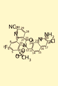 CS(=O)(=O)c1cc(F)ccc1N(Cc1ccc2cc(Cl)c(N)nc2c1)C(=O)c1ccc(C#N)nc1